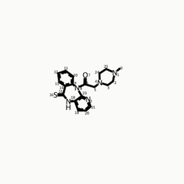 CN1CCN(CC(=O)N2c3ccccc3C(=S)Nc3cccnc32)CC1